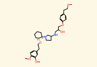 COCCc1ccc(OCC(O)CNC2CCN([C@@H]3CCCC[C@H]3OCCc3ccc(OC)c(OC)c3)C2)cc1